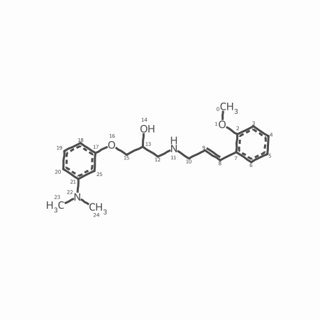 COc1ccccc1C=CCNCC(O)COc1cccc(N(C)C)c1